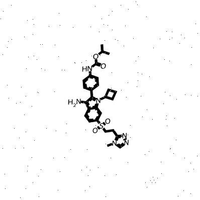 CC(C)OC(=O)Nc1ccc(-c2c(N)c3ccc(S(=O)(=O)CCc4nncn4C)cc3n2C2CCC2)cc1